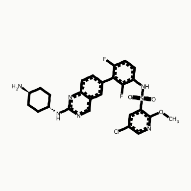 COc1ncc(Cl)cc1S(=O)(=O)Nc1ccc(F)c(-c2ccc3nc(N[C@H]4CC[C@H](N)CC4)ncc3c2)c1F